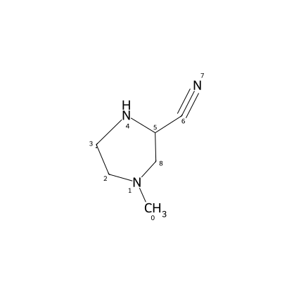 CN1C[CH]NC(C#N)C1